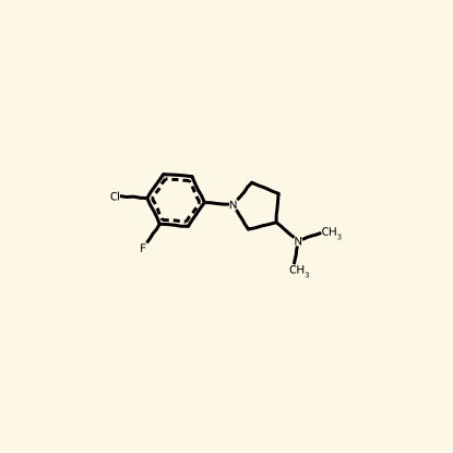 CN(C)C1CCN(c2ccc(Cl)c(F)c2)C1